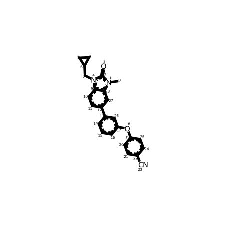 Cn1c(=O)n(CC2CC2)c2ccc(-c3cccc(Oc4ccc(C#N)cc4)c3)cc21